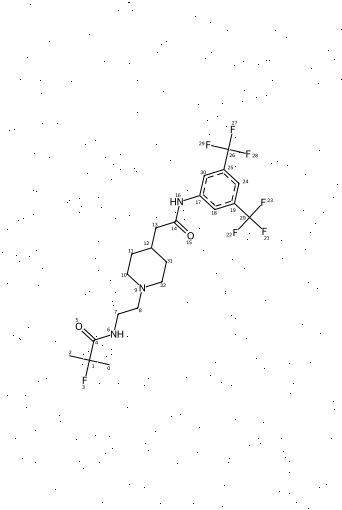 CC(C)(F)C(=O)NCCN1CCC(CC(=O)Nc2cc(C(F)(F)F)cc(C(F)(F)F)c2)CC1